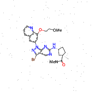 CNC(=O)[C@]1(C)CC[C@@H](Nc2ncc3c(Br)nn(-c4cc(OCCOC)c5ncccc5c4)c3n2)C1